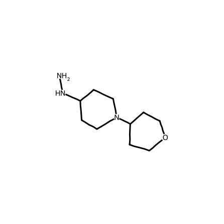 NNC1CCN(C2CCOCC2)CC1